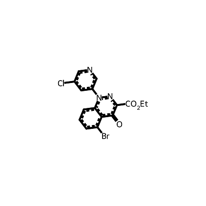 CCOC(=O)c1nn(-c2cncc(Cl)c2)c2cccc(Br)c2c1=O